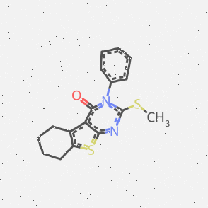 CSc1nc2sc3c(c2c(=O)n1-c1ccccc1)CCCC3